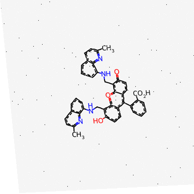 Cc1ccc2cccc(NCc3c4oc5c(CNc6cccc7ccc(C)nc67)c(O)ccc5c(-c5ccccc5C(=O)O)c-4ccc3=O)c2n1